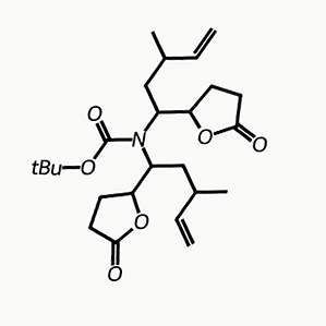 C=CC(C)CC(C1CCC(=O)O1)N(C(=O)OC(C)(C)C)C(CC(C)C=C)C1CCC(=O)O1